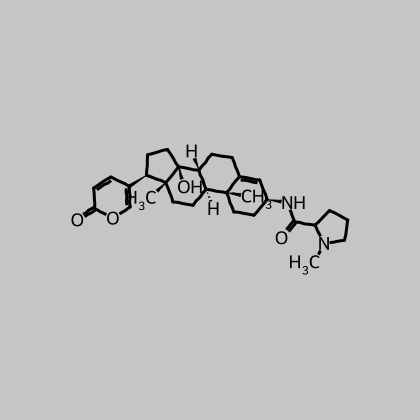 CN1CCCC1C(=O)N[C@@H]1C=C2CC[C@@H]3[C@H](CC[C@]4(C)[C@@H](c5ccc(=O)oc5)CC[C@]34O)[C@@]2(C)CC1